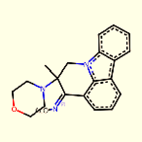 CC(=O)O/N=C1/c2cccc3c4ccccc4n(c23)CC1(C)N1CCOCC1